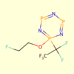 FCCOP1(C(F)(F)C(F)(F)F)=NP=NP=N1